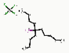 CCCCCC(P)(CCCC)CCCC.F[B-](F)(F)F